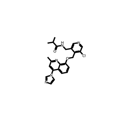 Cc1cc(-n2ccnc2)c2cccc(OCc3c(Cl)cncc3CNC(=O)C(C)C)c2n1